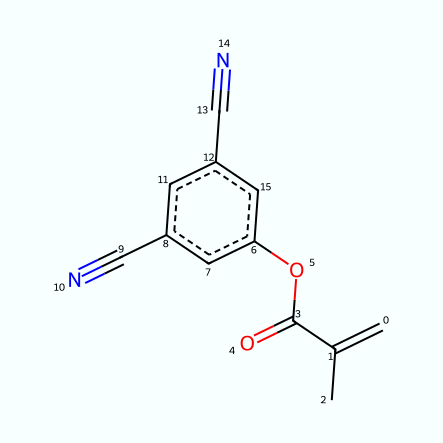 C=C(C)C(=O)Oc1cc(C#N)cc(C#N)c1